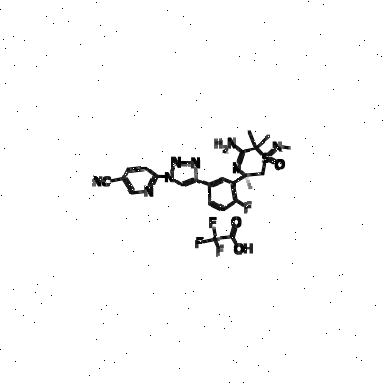 CN=S1(=O)C[C@@](C)(c2cc(-c3cn(-c4ccc(C#N)cn4)nn3)ccc2F)N=C(N)C1(C)C.O=C(O)C(F)(F)F